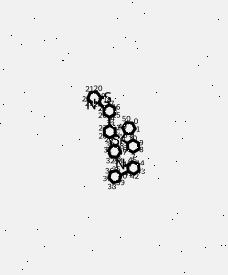 c1ccc([Si]2(c3ccccc3)c3cc(-c4ccc5sc6cccnc6c5c4)ccc3-c3ccc(-n4c5ccccc5c5ccccc54)cc32)cc1